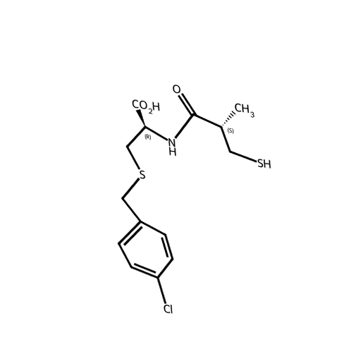 C[C@H](CS)C(=O)N[C@@H](CSCc1ccc(Cl)cc1)C(=O)O